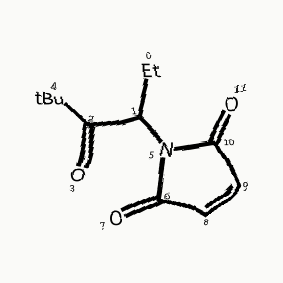 CCC(C(=O)C(C)(C)C)N1C(=O)C=CC1=O